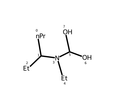 CCCC(CC)N(CC)C(O)O